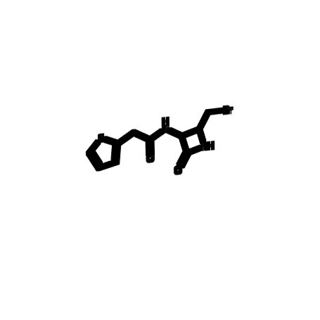 O=C(Cc1cccs1)NC1C(=O)NC1CBr